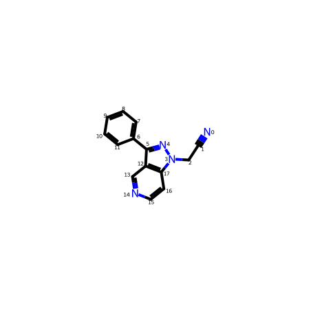 N#CCn1nc(-c2ccccc2)c2cnccc21